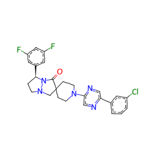 O=C1N2[C@H](c3cc(F)cc(F)c3)CCN2CC12CCN(c1cnc(-c3cccc(Cl)c3)cn1)CC2